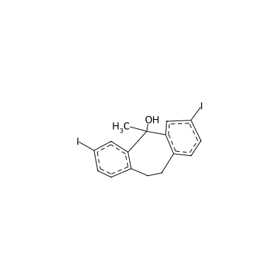 CC1(O)c2cc(I)ccc2CCc2ccc(I)cc21